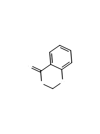 O=C1SCOc2ccccc21